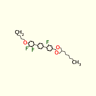 C=CCCCOc1ccc(-c2ccc(-c3ccc(C4OCC(CCCCCC)CO4)cc3F)cc2)c(F)c1F